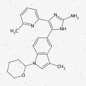 Cc1cccc(-c2nc(N)[nH]c2-c2ccc3c(c2)c(C)cn3C2CCCCO2)n1